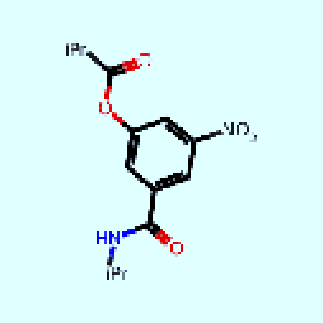 CC(C)NC(=O)c1cc(OC(=O)C(C)C)cc([N+](=O)[O-])c1